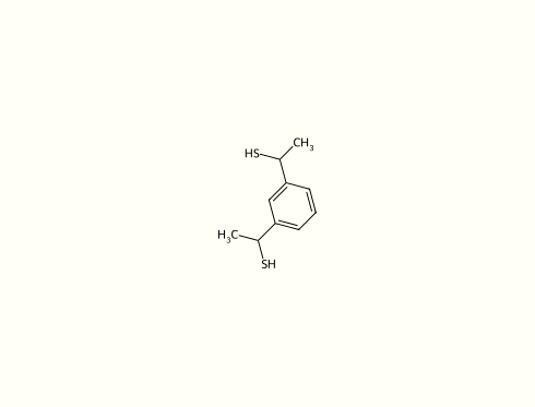 CC(S)c1cccc(C(C)S)c1